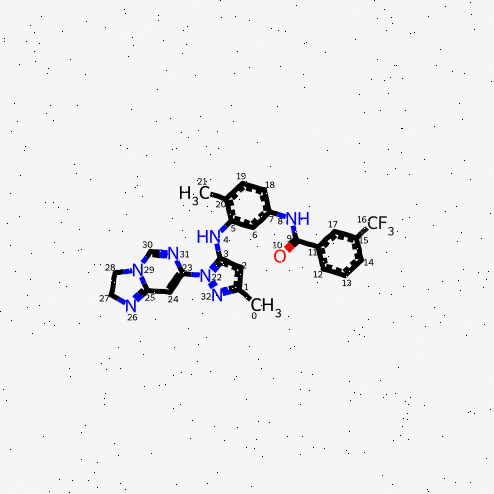 Cc1cc(Nc2cc(NC(=O)c3cccc(C(F)(F)F)c3)ccc2C)n(C2=CC3=NCCN3C=N2)n1